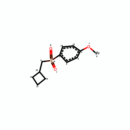 CC(C)Oc1ccc(S(=O)(=O)CC2CCC2)cc1